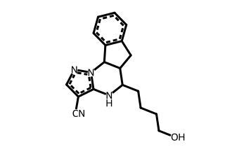 N#Cc1cnn2c1NC(CCCCO)C1Cc3ccccc3C12